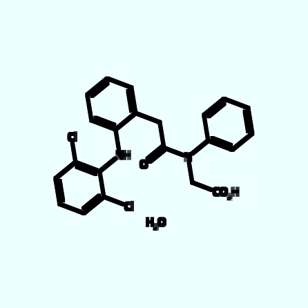 O.O=C(O)CN(C(=O)Cc1ccccc1Nc1c(Cl)cccc1Cl)c1ccccc1